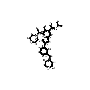 Cc1c(C(=O)OC(C)C)cc2cc(-c3cccc(CN4CCOCC4)c3)cn2c1C(C)N1CCOCC1